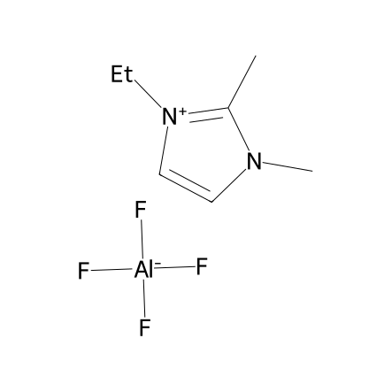 CC[n+]1ccn(C)c1C.[F][Al-]([F])([F])[F]